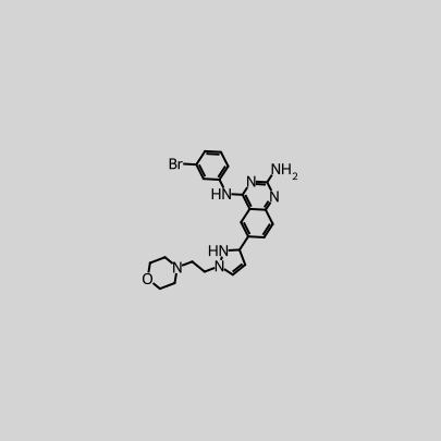 Nc1nc(Nc2cccc(Br)c2)c2cc(C3C=CN(CCN4CCOCC4)N3)ccc2n1